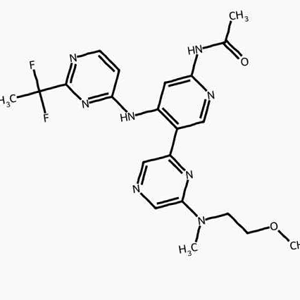 COCCN(C)c1cncc(-c2cnc(NC(C)=O)cc2Nc2ccnc(C(C)(F)F)n2)n1